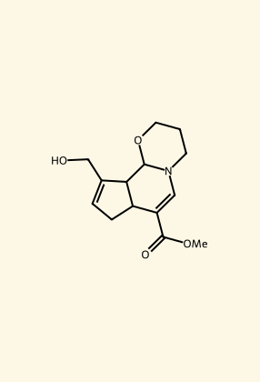 COC(=O)C1=CN2CCCOC2C2C(CO)=CCC12